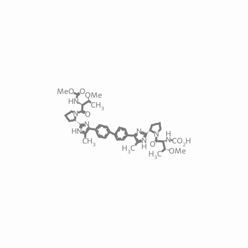 COC(=O)N[C@H](C(=O)N1CCC[C@H]1c1nc(-c2ccc(-c3ccc(-c4nc([C@@H]5CCCN5C(=O)[C@@H](NC(=O)O)[C@@H](C)OC)[nH]c4C)cc3)cc2)c(C)[nH]1)[C@@H](C)OC